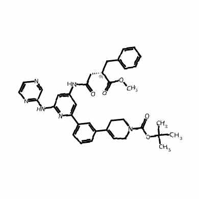 COC(=O)[C@H](CC(=O)Nc1cc(Nc2cnccn2)nc(-c2cccc(C3=CCN(C(=O)OC(C)(C)C)CC3)c2)c1)Cc1ccccc1